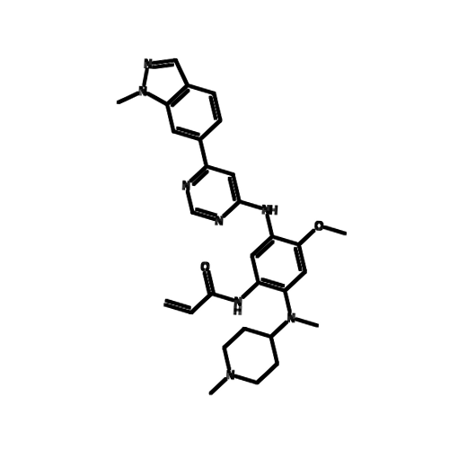 C=CC(=O)Nc1cc(Nc2cc(-c3ccc4cnn(C)c4c3)ncn2)c(OC)cc1N(C)C1CCN(C)CC1